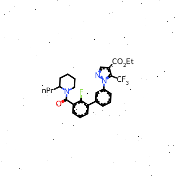 CCCC1CCCCN1C(=O)c1cccc(-c2cccc(-n3ncc(C(=O)OCC)c3C(F)(F)F)c2)c1F